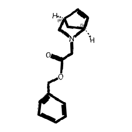 O=C(CN1C[C@H]2C=C[C@@H]1C2)OCc1ccccc1